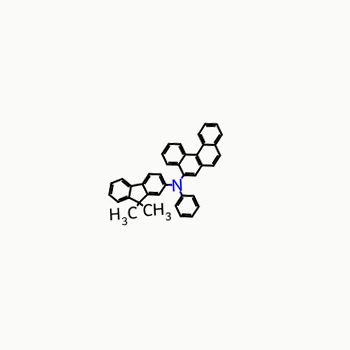 CC1(C)c2ccccc2-c2ccc(N(c3ccccc3)c3cc4ccc5ccccc5c4c4ccccc34)cc21